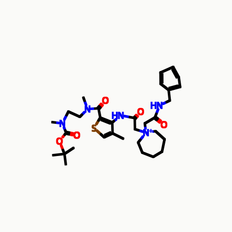 Cc1csc(C(=O)N(C)CCN(C)C(=O)OC(C)(C)C)c1NC(=O)C[N+]1(CC(=O)NCc2ccccc2)CCCCCC1